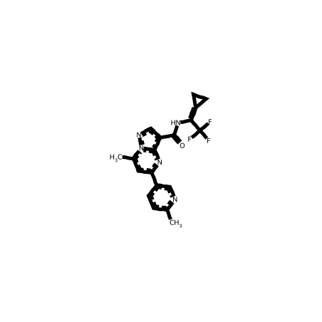 Cc1ccc(-c2cc(C)n3ncc(C(=O)NC(=C4CC4)C(F)(F)F)c3n2)cn1